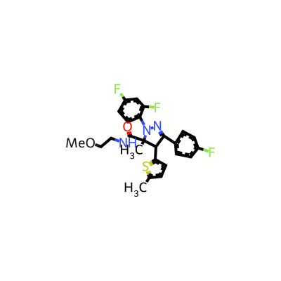 COCCNC(=O)C1(C)C(c2ccc(C)s2)C(c2ccc(F)cc2)=NN1c1ccc(F)cc1F